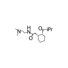 CC(C)C(=O)[C@H]1CCCC[C@H]1CC(=O)NCCN(C)C